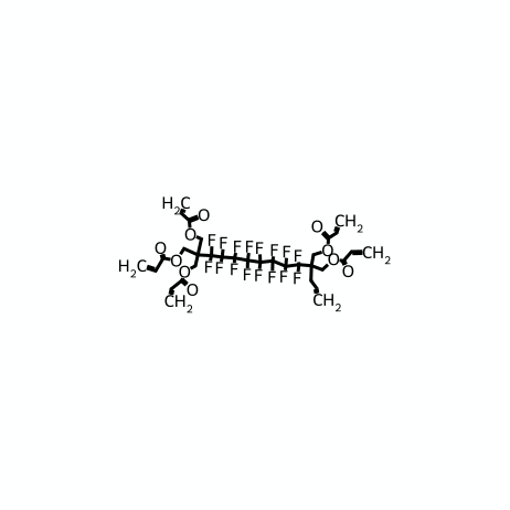 C=CCC(COC(=O)C=C)(COC(=O)C=C)C(F)(F)C(F)(F)C(F)(F)C(F)(F)C(F)(F)C(F)(F)C(F)(F)C(F)(F)C(COC(=O)C=C)(COC(=O)C=C)COC(=O)C=C